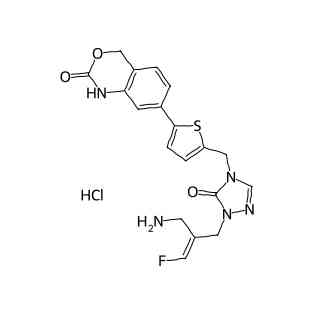 Cl.NC/C(=C\F)Cn1ncn(Cc2ccc(-c3ccc4c(c3)NC(=O)OC4)s2)c1=O